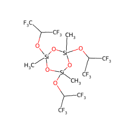 C[Si]1(OC(C(F)(F)F)C(F)(F)F)O[Si](C)(OC(C(F)(F)F)C(F)(F)F)O[Si](C)(OC(C(F)(F)F)C(F)(F)F)O1